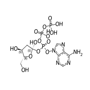 Nc1ncnc2c1ncn2OP(=O)(O[C@]1(O)C[C@H](O)[C@@H](CO)O1)OP(=O)(O)OP(=O)(O)O